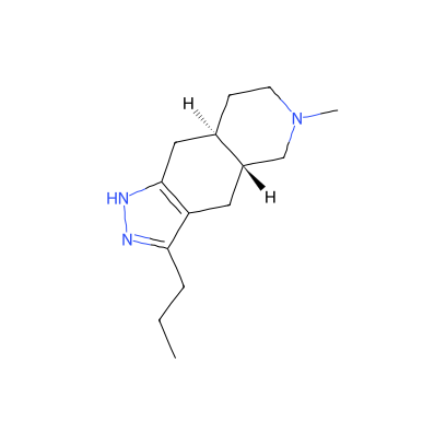 CCCc1n[nH]c2c1C[C@H]1CN(C)CC[C@@H]1C2